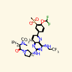 CC(C)[C@H](C(=O)N1CC[C@H](Nc2nc(NCC(F)(F)F)c3nc(-c4ccc(OC(F)F)c(S(C)(=O)=O)c4)ccc3n2)C1)N(C)C(=O)O